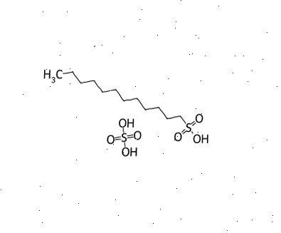 CCCCCCCCCCCCS(=O)(=O)O.O=S(=O)(O)O